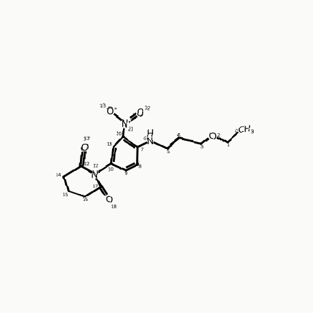 CCOCCCNc1ccc(N2C(=O)CCCC2=O)cc1[N+](=O)[O-]